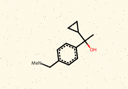 CNCc1ccc(C(C)(O)C2CC2)cc1